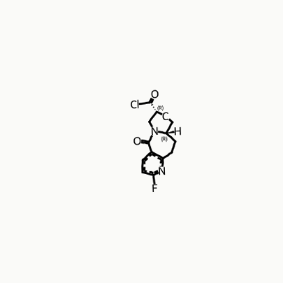 O=C(Cl)[C@@H]1CC[C@@H]2CCc3nc(F)ccc3C(=O)N2C1